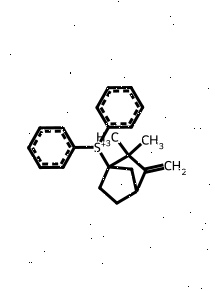 C=C1C2CCC([S+](c3ccccc3)c3ccccc3)(C2)C1(C)C